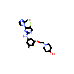 CCc1cc(Nc2ncc(F)c(-n3ccnc3C)n2)cc(OCCN2CCC(O)CC2)c1